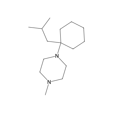 CC(C)CC1(N2CCN(C)CC2)CCCCC1